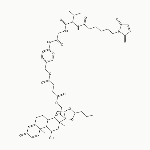 CCCC1OC2CC3C4CCC5=CC(=O)C=CC5(C)C4C(O)CC3(C)C2(C(=O)COC(=O)CCC(=O)OCc2ccc(NC(=O)CNC(=O)C(NC(=O)CCCCCN3C(=O)C=CC3=O)C(C)C)cc2)O1